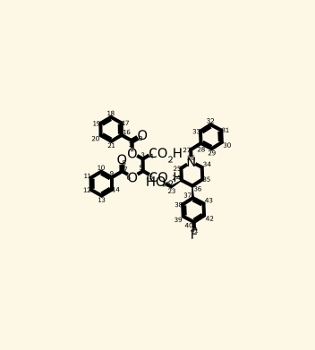 O=C(OC(C(=O)O)C(OC(=O)c1ccccc1)C(=O)O)c1ccccc1.OC[C@H]1CN(Cc2ccccc2)CC[C@H]1c1ccc(F)cc1